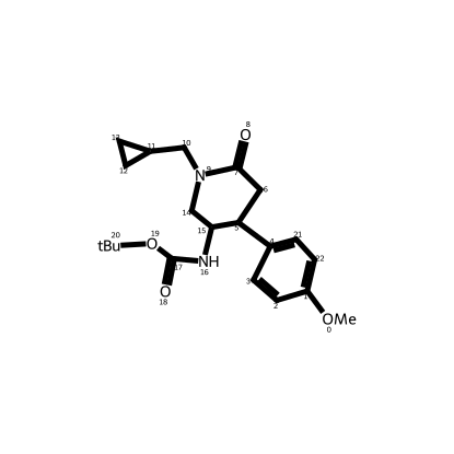 COc1ccc(C2CC(=O)N(CC3CC3)CC2NC(=O)OC(C)(C)C)cc1